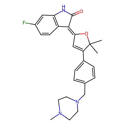 CN1CCN(Cc2ccc(C3=CC(=C4C(=O)Nc5cc(F)ccc54)OC3(C)C)cc2)CC1